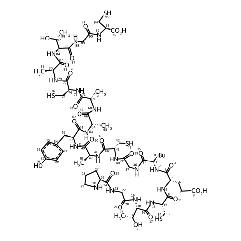 CC[C@H](C)[C@H](NC(=O)[C@H](CCC(=O)O)NC(=O)[C@H](CS)NC(=O)[C@@H](NC(=O)CNC(=O)[C@@H]1CCCN1)[C@@H](C)O)C(=O)NCC(=O)N[C@@H](CS)C(=O)N[C@@H](C)C(=O)N[C@@H](Cc1ccc(O)cc1)C(=O)N[C@@H](C)C(=O)N[C@@H](C)C(=O)N[C@@H](CS)C(=O)N[C@@H](C)C(=O)N[C@H](C(=O)NCC(=O)N[C@@H](CS)C(=O)O)[C@@H](C)O